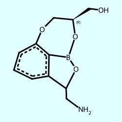 NCC1OB2O[C@H](CO)COc3cccc1c32